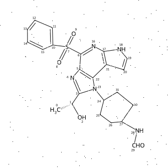 C[C@@H](O)c1nc2c(S(=O)(=O)c3ccccc3)nc3[nH]ccc3c2n1C1CCC(NC=O)CC1